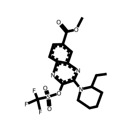 CCC1CCCCN1c1nc2cc(C(=O)OC)ccc2nc1OS(=O)(=O)C(F)(F)F